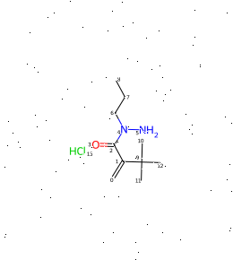 C=C(C(=O)N(N)CCC)C(C)(C)C.Cl